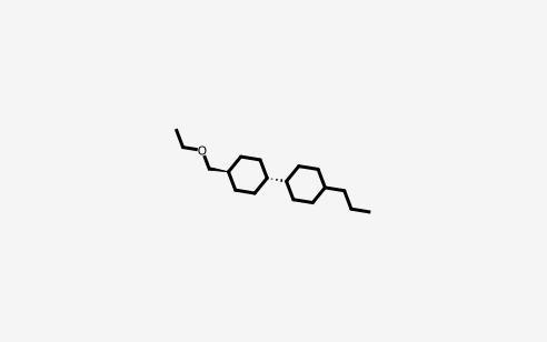 CCCC1CCC([C@H]2CC[C@H](COCC)CC2)CC1